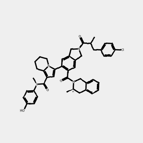 CC(Cc1ccc(Cl)cc1)C(=O)N1Cc2cc(C(=O)N3Cc4ccccc4C[C@H]3C)c(-c3cc(C(=O)N(C)c4ccc(O)cc4)c4n3CCCC4)cc2C1